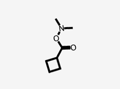 CN(C)OC(=O)C1CCC1